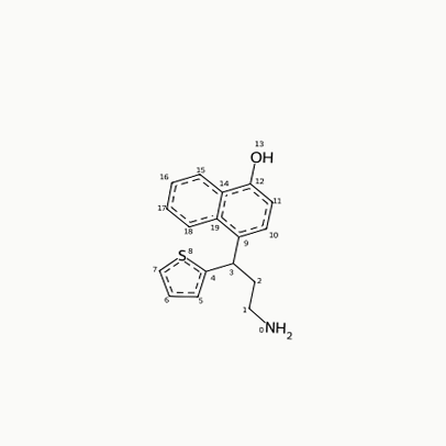 NCCC(c1cccs1)c1ccc(O)c2ccccc12